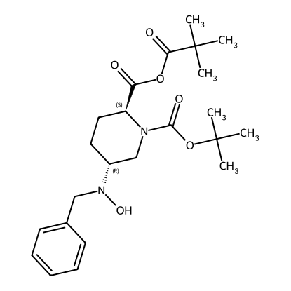 CC(C)(C)OC(=O)N1C[C@H](N(O)Cc2ccccc2)CC[C@H]1C(=O)OC(=O)C(C)(C)C